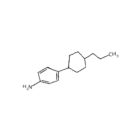 CCCC1CCC(c2ccc(N)cc2)CC1